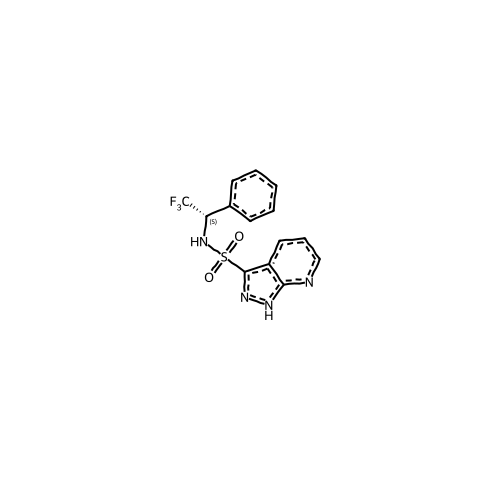 O=S(=O)(N[C@@H](c1ccccc1)C(F)(F)F)c1n[nH]c2ncccc12